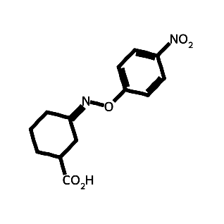 O=C(O)C1CCCC(=NOc2ccc([N+](=O)[O-])cc2)C1